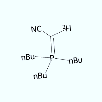 [2H]C(C#N)=P(CCCC)(CCCC)CCCC